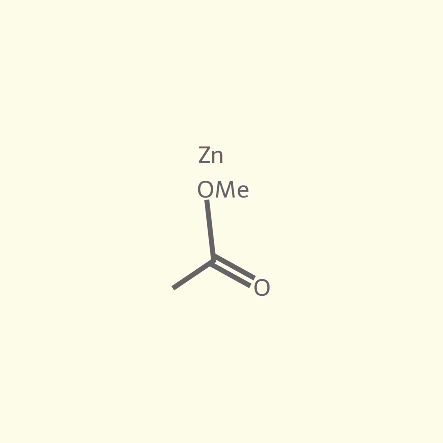 COC(C)=O.[Zn]